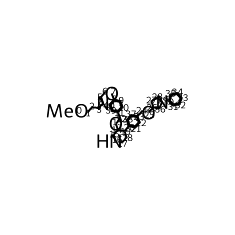 COCCCN1CCOc2ccc(COC3CNCCC3c3ccc(COC4CCN(c5ccccc5)C4)cc3)cc21